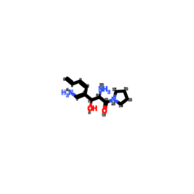 C=C/C=C\C(=C/N)[C@H](O)[C@@H](N)C(=O)N1CCCC1